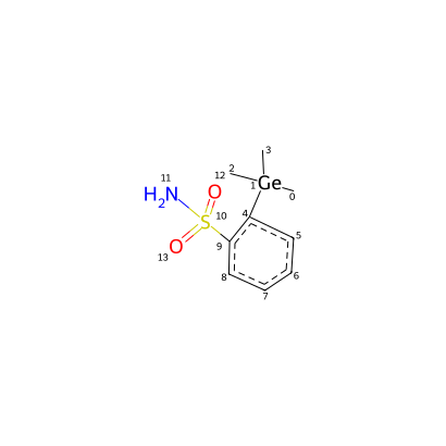 [CH3][Ge]([CH3])([CH3])[c]1ccccc1S(N)(=O)=O